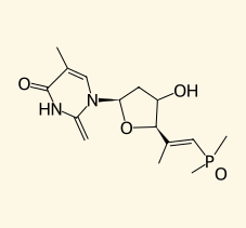 C=C1NC(=O)C(C)=CN1[C@H]1CC(O)[C@@H](/C(C)=C/P(C)(C)=O)O1